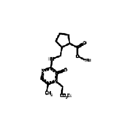 CCOC(=O)Cn1c(C)cnc(NCC2CCCC2C(=O)OC(C)(C)C)c1=O